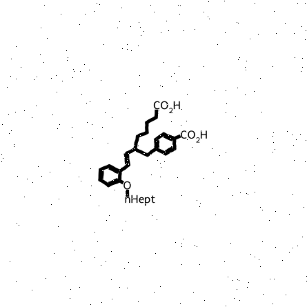 CCCCCCCOc1ccccc1C=CC(CCCCC(=O)O)Cc1ccc(C(=O)O)cc1